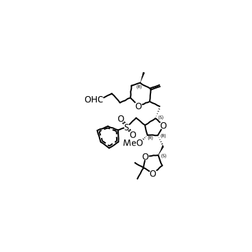 C=C1C(C[C@@H]2O[C@H](C[C@H]3COC(C)(C)O3)[C@H](OC)C2CS(=O)(=O)c2ccccc2)OC(CCC=O)C[C@H]1C